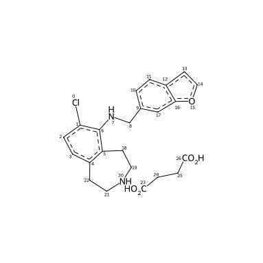 Clc1ccc2c(c1NCc1ccc3ccoc3c1)CCNCC2.O=C(O)CCC(=O)O